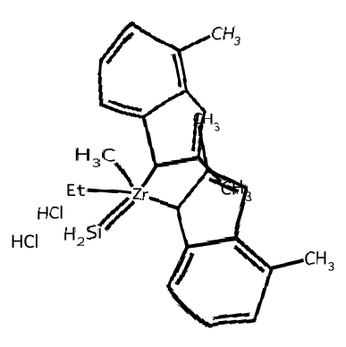 C[CH2][Zr]([CH3])(=[SiH2])([CH]1C(C)=Cc2c(C)cccc21)[CH]1C(C)=Cc2c(C)cccc21.Cl.Cl